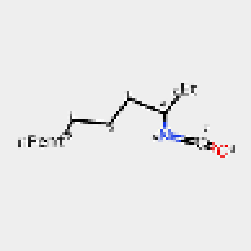 CCCCCCCCC(CC)N=C=O